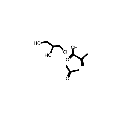 C=C(C)C(=O)O.CC(C)=O.OCC(O)CO